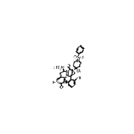 CCC1(NC(=O)NC(Cc2c[nH]c(=O)nc2NC(=O)c2c(Cl)cccc2Cl)C(=O)O)CCN(S(=O)(=O)c2ccccc2)CC1